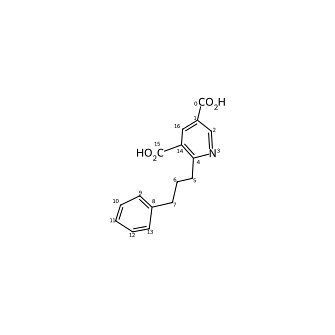 O=C(O)c1cnc(CCCc2ccccc2)c(C(=O)O)c1